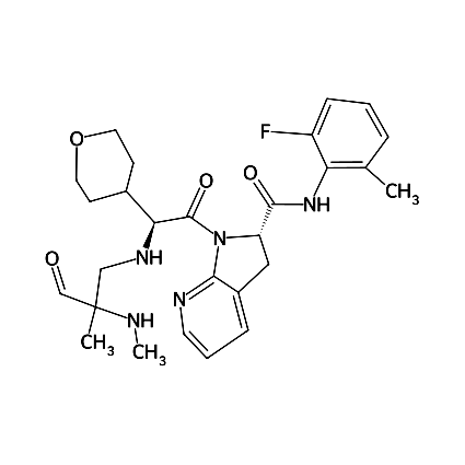 CNC(C)(C=O)CN[C@H](C(=O)N1c2ncccc2C[C@H]1C(=O)Nc1c(C)cccc1F)C1CCOCC1